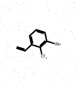 C=[C]c1cccc(C(C)(C)C)c1C(F)(F)F